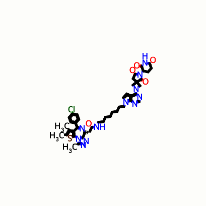 Cc1sc2c(c1C)C(c1ccc(Cl)cc1)=N[C@@H](CC(=O)NCCCCCCCCn1ccc3c(N4CC5(CC(=O)N(C6CCC(=O)NC6=O)C5=O)C4)ncnc31)c1nnc(C)n1-2